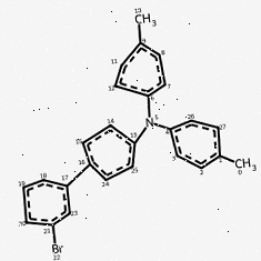 Cc1ccc(N(c2ccc(C)cc2)c2ccc(-c3cccc(Br)c3)cc2)cc1